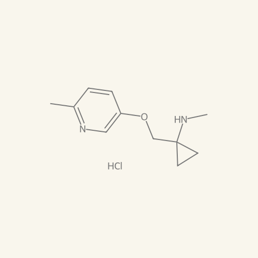 CNC1(COc2ccc(C)nc2)CC1.Cl